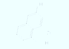 Cc1ccc2c(C(=O)O)cccc2c1.[Zn]